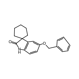 O=C1Nc2ccc(OCc3ccccc3)cc2C12CCCCC2